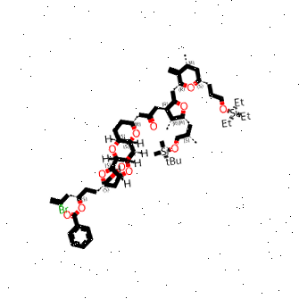 C=C(Br)C[C@H](CC[C@@]12C[C@H]3O[C@H]4[C@@H](O1)[C@H]1O[C@@H](CC(=O)C[C@H]5C(C[C@H]6O[C@@H](CCCO[Si](CC)(CC)CC)C[C@@H](C)C6=C)O[C@H](C[C@H](C)CO[Si](C)(C)C(C)(C)C)[C@@H]5C)CC[C@@H]1O[C@H]4[C@H]3O2)OC(=O)c1ccccc1